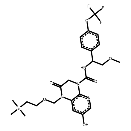 COCC(NC(=O)N1CC(=O)N(COCC[Si](C)(C)C)c2cc(O)cnc21)c1ccc(OC(F)(F)F)cc1